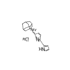 C1=C/C(=C\NC23CC4CC(CC(C4)C2)C3)N=C1c1ccc[nH]1.Cl